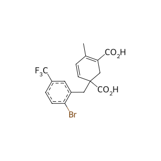 CC1=C(C(=O)O)CC(Cc2cc(C(F)(F)F)ccc2Br)(C(=O)O)C=C1